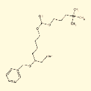 CCCCCCCCCCCC(CCCCOP(O)OCCC[N+](C)(C)C)OCc1ccccc1